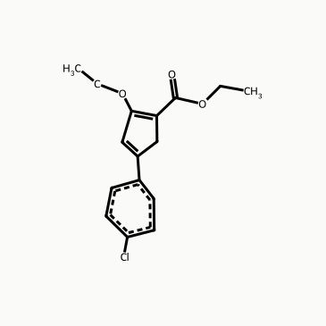 CCOC(=O)C1=C(OCC)C=C(c2ccc(Cl)cc2)C1